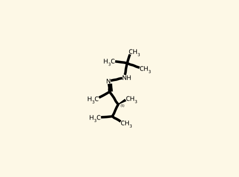 CC(=NNC(C)(C)C)[C@@H](C)C(C)C